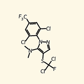 CN(C)c1c(SC(F)(Cl)Cl)cnn1-c1c(Cl)cc(C(F)(F)F)cc1Cl